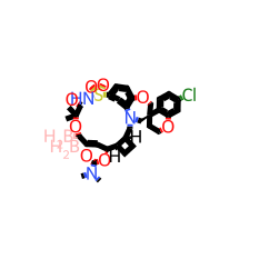 BC1(B)/C=C/[C@H](OC(=O)N(C)C)[C@@H]2CC[C@H]2CN2C[C@@]3(CCOc4cc(Cl)ccc43)COc3ccc(cc32)S(=O)(=O)NC(=O)C(C)(C)O1